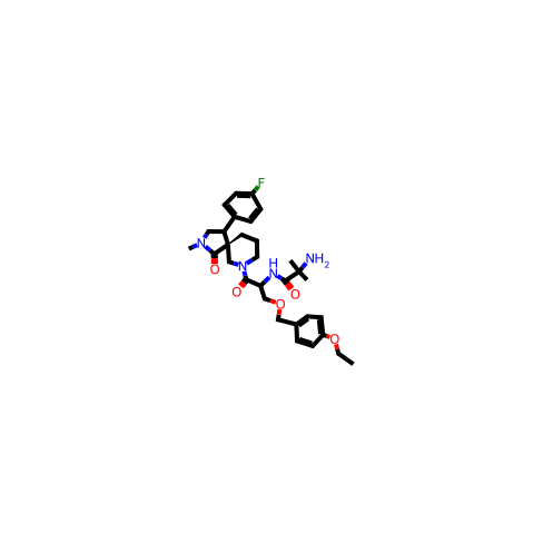 CCOc1ccc(COCC(NC(=O)C(C)(C)N)C(=O)N2CCC[C@@]3(C2)C(=O)N(C)CC3c2ccc(F)cc2)cc1